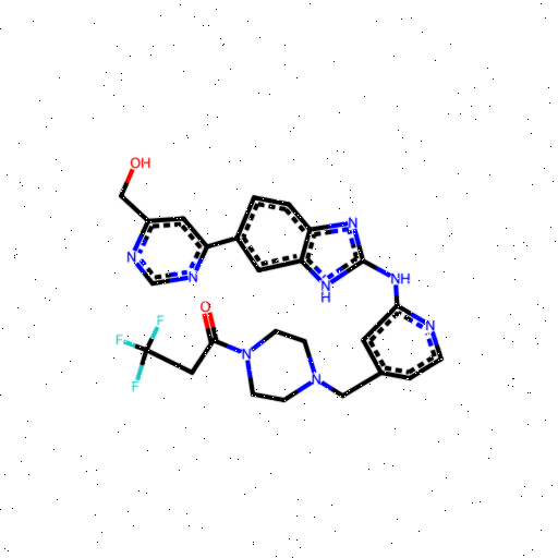 O=C(CC(F)(F)F)N1CCN(Cc2ccnc(Nc3nc4ccc(-c5cc(CO)ncn5)cc4[nH]3)c2)CC1